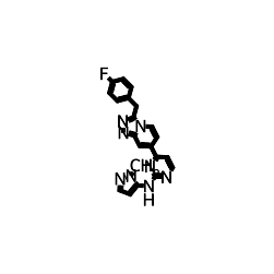 Cn1nccc1Nc1nccc(-c2ccn3c(Cc4ccc(F)cc4)nnc3c2)n1